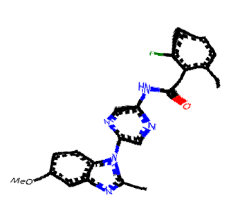 COc1ccc2c(c1)nc(C)n2-c1cnc(NC(=O)c2c(C)cccc2F)cn1